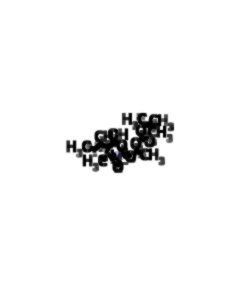 CC[C@@H](C)[C@@H](C(=O)O)N(C)/[N+]([O-])=N/OC(C)OC(=O)OC(C)(C)C